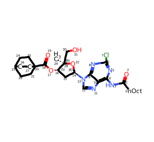 CCCCCCCCC(=O)Nc1nc(Cl)nc2c1ncn2[C@H]1C[C@H](OC(=O)C23CCC(CC2)CC3)[C@@](C)(CO)O1